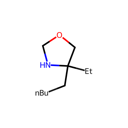 CCCCCC1(CC)COCN1